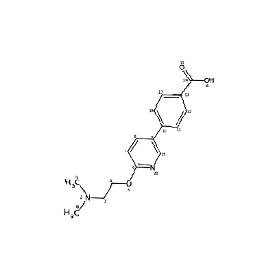 CN(C)CCOc1ccc(-c2ccc(C(=O)O)cc2)cn1